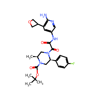 C[C@H]1CN(C(=O)C(=O)Nc2cnc(N)c(C3COC3)c2)[C@@H](c2ccc(F)cc2)CN1C(=O)OC(C)(C)C